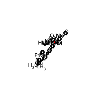 CC(C)Oc1ccccc1[C@H]1CN(Cc2ccnc3c2OCC(C)(C)O3)CCN1C1CC2(CCN(c3ccc(C(=O)NS(=O)(=O)c4ccc(NCC5CCOCC5)c([N+](=O)[O-])c4)c(N4c5cc6cc[nH]c6nc5O[C@H]5COCC[C@@H]54)c3)CC2)C1